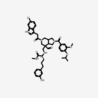 CNC(=O)[C@H](CCCc1cccc(O)c1)NCC1(C=O)CN(C(=O)Cc2c[nH]c3cc(Cl)ccc23)CC2CN(C(=O)c3ccc(OC(C)C)c(OC)c3)CC21